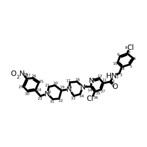 O=C(NCc1ccc(Cl)cc1)c1cnc(N2CCN(C3CCN(Cc4ccc([N+](=O)[O-])cc4)CC3)CC2)c(Cl)c1